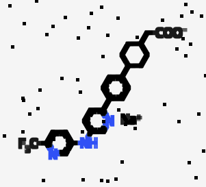 O=C([O-])CC1CCC(c2ccc(-c3ccc(Nc4ccc(C(F)(F)F)nc4)cn3)cc2)CC1.[Na+]